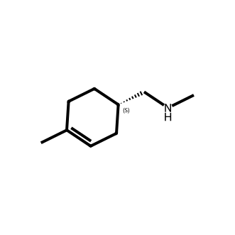 CNC[C@@H]1CC=C(C)CC1